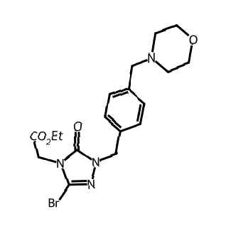 CCOC(=O)Cn1c(Br)nn(Cc2ccc(CN3CCOCC3)cc2)c1=O